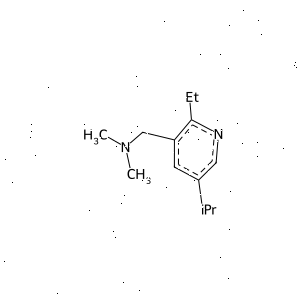 CCc1ncc(C(C)C)cc1CN(C)C